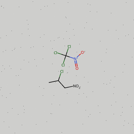 CC(Cl)C[N+](=O)[O-].O=[N+]([O-])C(Cl)(Cl)Cl